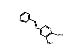 COc1cc(/N=C/c2ccccc2)cnc1OC